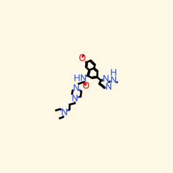 CCN(CC)CCCN1CCN(CC(=O)Nc2cc(-c3ccnc(NC)n3)cc3ccc(OC)cc23)CC1